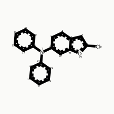 Clc1cc2ccc(N(c3ccccc3)c3ccccc3)cc2o1